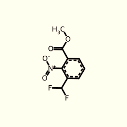 COC(=O)c1cccc(C(F)F)c1[N+](=O)[O-]